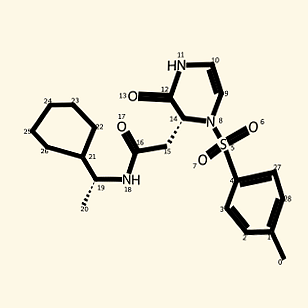 Cc1ccc(S(=O)(=O)N2C=CNC(=O)[C@H]2CC(=O)N[C@H](C)C2CCCCC2)cc1